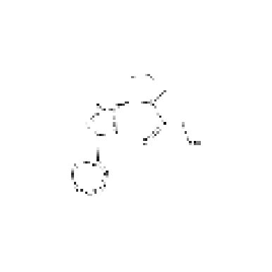 CC(C)(C)OC(=O)N1CCC[C@@H]1c1cc(-c2ccccc2)on1